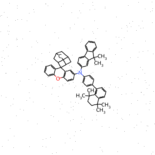 CC1(C)CCC(C)(C)c2c(-c3ccc(N(c4ccc5c(c4)C(C)(C)c4ccccc4-5)c4ccc5c(c4)C4(c6ccccc6O5)C5CC6CC7CC4C75C6)cc3)cccc21